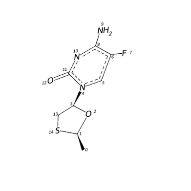 C[C@@H]1O[C@H](n2cc(F)c(N)nc2=O)CS1